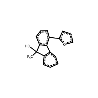 OC1(C(F)(F)F)c2ccccc2-c2c(-c3cnco3)cccc21